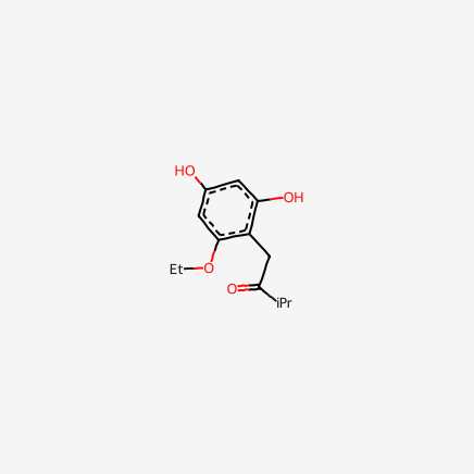 CCOc1cc(O)cc(O)c1CC(=O)C(C)C